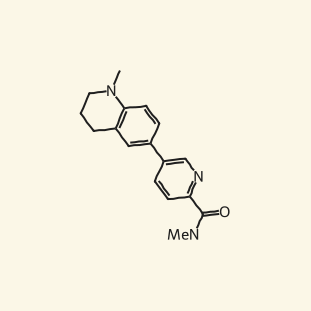 CNC(=O)c1ccc(-c2ccc3c(c2)CCCN3C)cn1